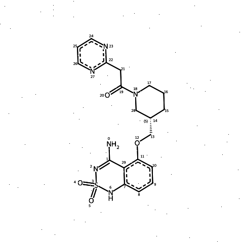 NC1=NS(=O)(=O)Nc2cccc(OC[C@H]3CCCN(C(=O)Cc4ncccn4)C3)c21